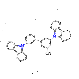 N#Cc1cc(-c2cccc(-n3c4ccccc4c4ccccc43)c2)cc(-n2c3c(c4ccccc42)CCC=C3)c1